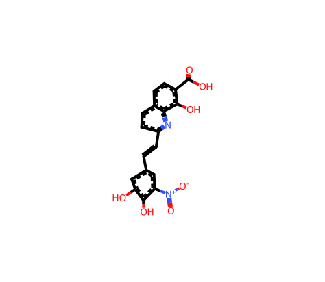 O=C(O)c1ccc2ccc(/C=C/c3cc(O)c(O)c([N+](=O)[O-])c3)nc2c1O